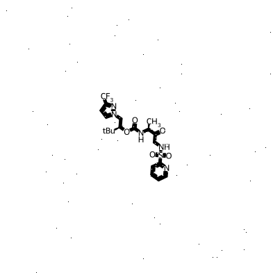 C[C@H](NC(=O)O[C@H](Cn1ccc(C(F)(F)F)n1)C(C)(C)C)C(=O)CNS(=O)(=O)c1ccccn1